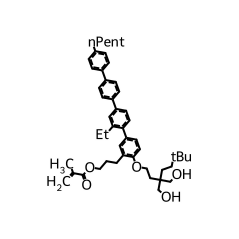 C=C(C)C(=O)OCCCc1cc(-c2ccc(-c3ccc(-c4ccc(CCCCC)cc4)cc3)cc2CC)ccc1OCCC(CO)(CO)CCC(C)(C)C